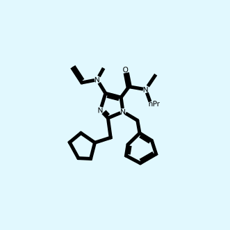 C=CN(C)c1nc(CC2CCCC2)n(Cc2ccccc2)c1C(=O)N(C)CCC